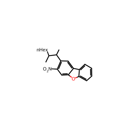 CCCCCCC(C)C(C)c1cc2c(cc1[N+](=O)[O-])oc1ccccc12